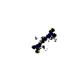 CC1(C)c2cc(/C=C/c3ccc4c(c3)C(C)(C)c3cc(N(c5ccc6ccccc6c5)c5ccc6sc7ccccc7c6c5)ccc3-4)ccc2-c2ccc(/C=C/c3ccc4c(c3)C(C)(C)c3cc(N(c5ccc6ccccc6c5)c5ccc6sc7ccccc7c6c5)ccc3-4)cc21